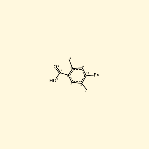 Cc1cc(C(=O)O)c(C)cc1F